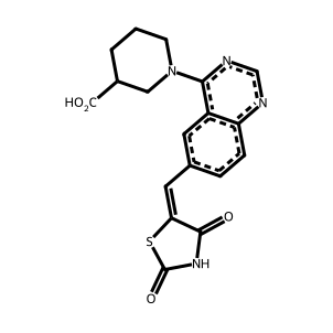 O=C1NC(=O)/C(=C\c2ccc3ncnc(N4CCCC(C(=O)O)C4)c3c2)S1